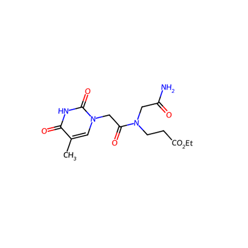 CCOC(=O)CCN(CC(N)=O)C(=O)Cn1cc(C)c(=O)[nH]c1=O